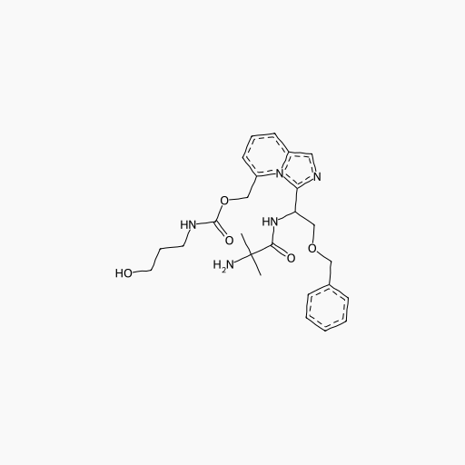 CC(C)(N)C(=O)NC(COCc1ccccc1)c1ncc2cccc(COC(=O)NCCCO)n12